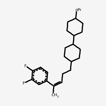 CCCC1CCC(C2CCC(CCC=C(C)c3ccc(F)c(F)c3)CC2)CC1